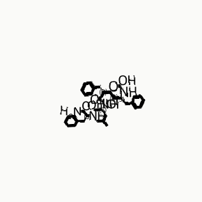 CC(C)C[C@H](NC(=O)[C@H](Cc1ccccc1)C[C@@H](O)[C@H](Cc1ccccc1)NC(=O)O)C(=O)N[C@@H](Cc1ccccc1)C(N)=O